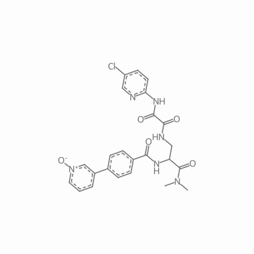 CN(C)C(=O)C(CNC(=O)C(=O)Nc1ccc(Cl)cn1)NC(=O)c1ccc(-c2ccc[n+]([O-])c2)cc1